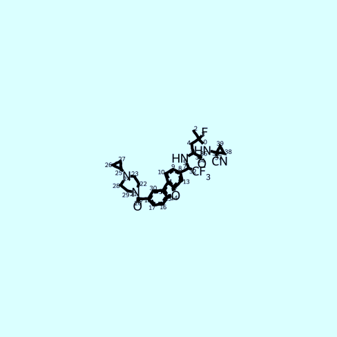 CC(C)(F)CC(NC(c1ccc2c(c1)oc1ccc(C(=O)N3CCN(C4CC4)CC3)cc12)C(F)(F)F)C(=O)NC1(C#N)CC1